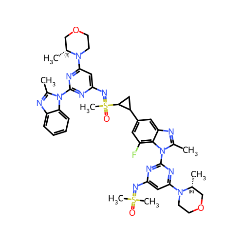 Cc1nc2ccccc2n1-c1nc(N=S(C)(=O)C2CC2c2cc(F)c3c(c2)nc(C)n3-c2nc(N=S(C)(C)=O)cc(N3CCOC[C@H]3C)n2)cc(N2CCOC[C@H]2C)n1